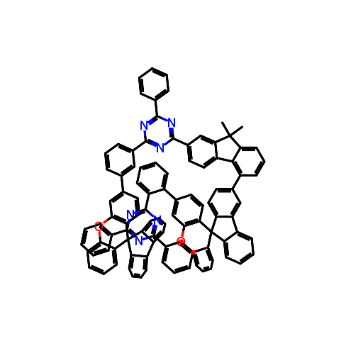 CC1(C)c2cc(-c3nc(-c4ccccc4)nc(-c4cccc(-c5ccc6c(c5)Oc5ccccc5C65c6ccccc6-c6ccccc65)c4)n3)ccc2-c2c(-c3ccc4c(c3)-c3ccccc3C43c4ccccc4Oc4cc(-c5ccccc5-c5nc(-c6ccccc6)nc(-c6ccccc6)n5)ccc43)cccc21